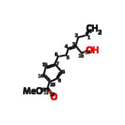 C=CCC(=CCCc1ccc(C(=O)OC)cc1)CO